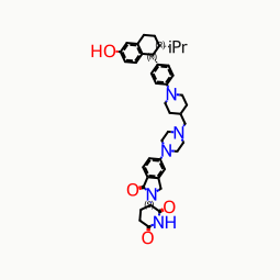 CC(C)[C@H]1CCc2cc(O)ccc2[C@H]1c1ccc(N2CCC(CN3CCN(c4ccc5c(c4)CN([C@H]4CCC(=O)NC4=O)C5=O)CC3)CC2)cc1